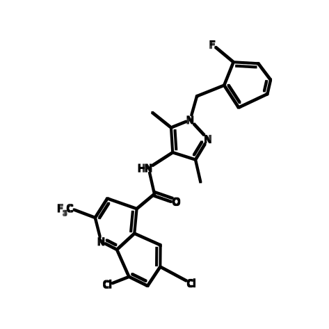 Cc1nn(Cc2ccccc2F)c(C)c1NC(=O)c1cc(C(F)(F)F)nc2c(Cl)cc(Cl)cc12